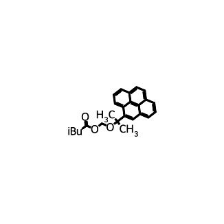 CCC(C)C(=O)OCOC(C)(C)c1cc2cccc3ccc4cccc1c4c32